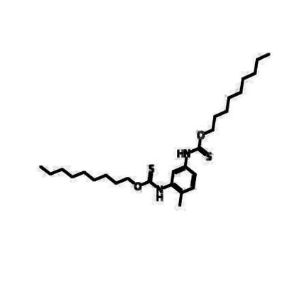 CCCCCCCCCOC(=S)Nc1ccc(C)c(NC(=S)OCCCCCCCCC)c1